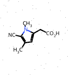 Cc1cc(CC(=O)O)n(C)c1C#N